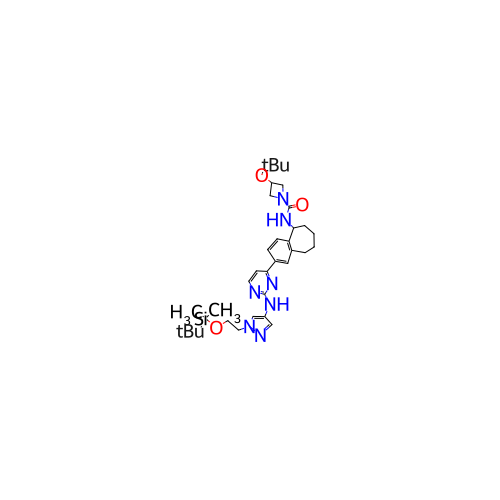 CC(C)(C)OC1CN(C(=O)NC2CCCCc3cc(-c4ccnc(Nc5cnn(CCO[Si](C)(C)C(C)(C)C)c5)n4)ccc32)C1